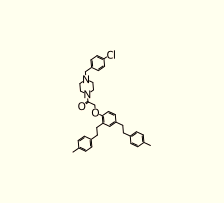 Cc1ccc(CCc2ccc(OCC(=O)N3CCN(Cc4ccc(Cl)cc4)CC3)c(CCc3ccc(C)cc3)c2)cc1